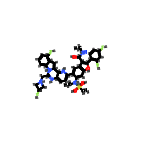 CNC(=O)c1c(-c2ccc(F)cc2F)oc2cc(N(C)S(C)(=O)=O)c(-c3ccc4nc(CN5CC(F)C5)n5c6cccc(F)c6cc5c4n3)cc12